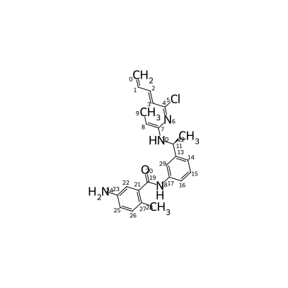 C=C/C=C/C(Cl)=N\C(=C/C)N[C@@H](C)c1cccc(NC(=O)c2cc(N)ccc2C)c1